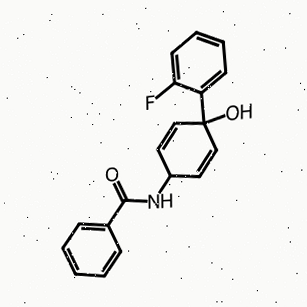 O=C(NC1C=CC(O)(c2ccccc2F)C=C1)c1ccccc1